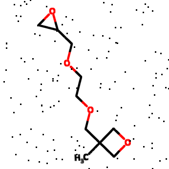 CC1(COCCOCC2CO2)COC1